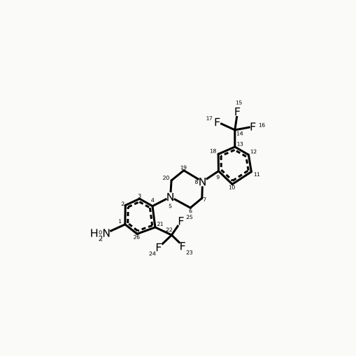 Nc1ccc(N2CCN(c3cccc(C(F)(F)F)c3)CC2)c(C(F)(F)F)c1